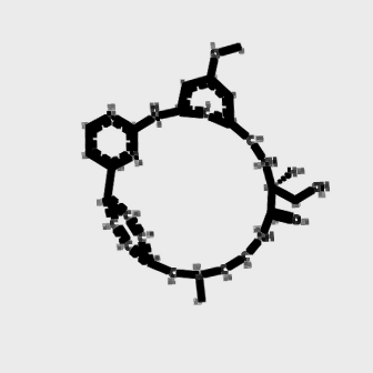 COc1cc2cc(c1)Nc1nccc(n1)-c1ccc(cc1)CN(C)CCNC(=O)[C@H](CO)NC2